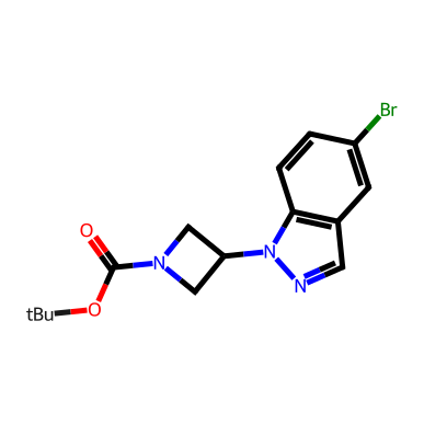 CC(C)(C)OC(=O)N1CC(n2ncc3cc(Br)ccc32)C1